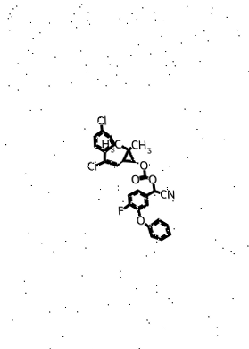 CC1(C)[C@H](/C=C(/Cl)c2ccc(Cl)cc2)[C@H]1OC(=O)OC(C#N)c1ccc(F)c(Oc2ccccc2)c1